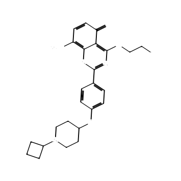 COc1ccc(=O)c2c(OCCF)nc(-c3ccc(OC4CCN(C5CCC5)CC4)cc3)[nH]c1-2